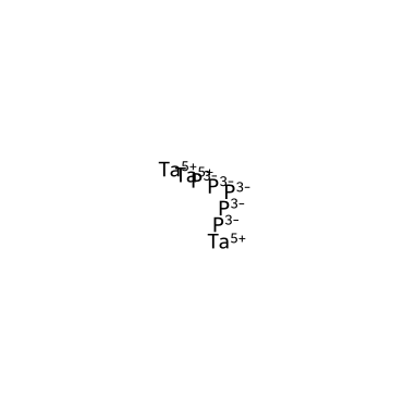 [P-3].[P-3].[P-3].[P-3].[P-3].[Ta+5].[Ta+5].[Ta+5]